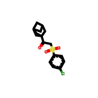 O=C(CS(=O)(=O)c1ccc(Cl)cc1)C12CC3CC(C3)(C1)C2